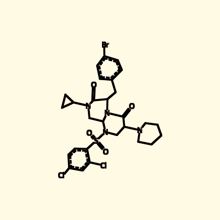 O=C1C(Cc2ccc(Br)cc2)N2C(=O)C(N3CCCCC3)CN(S(=O)(=O)c3ccc(Cl)cc3Cl)C2CN1C1CC1